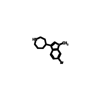 Cn1cc(C2CCCNCC2)c2ccc(Br)cc21